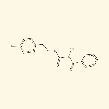 O=C(NCCc1ccc(F)cc1)N(S)C(=O)c1ccccc1